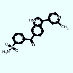 Cc1cc(-c2c[nH]c3cc(C(=O)c4cccc(S(N)(=O)=O)c4)ccc23)ccn1